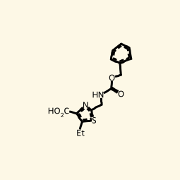 CCc1sc(CNC(=O)OCc2ccccc2)nc1C(=O)O